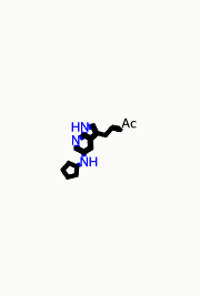 CC(=O)C=CCc1c[nH]c2ncc(NC3CCCC3)cc12